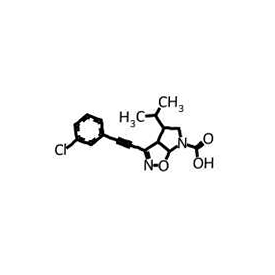 CC(C)C1CN(C(=O)O)C2ON=C(C#Cc3cccc(Cl)c3)C12